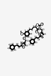 COc1cc(CCCC2OC(=O)N(Cc3csc(C=Cc4ccccc4)n3)C2=O)ccc1OCc1coc(C=Cc2ccccc2)n1